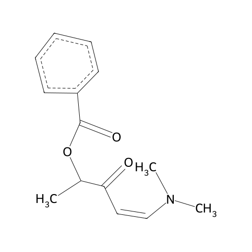 CC(OC(=O)c1ccccc1)C(=O)/C=C\N(C)C